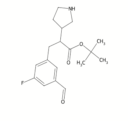 CC(C)(C)OC(=O)C(Cc1cc(F)cc(C=O)c1)C1CCNC1